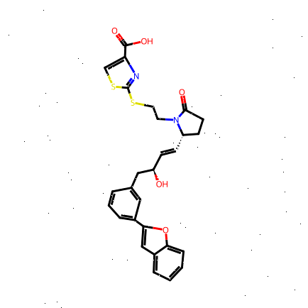 O=C(O)c1csc(SCCN2C(=O)CC[C@@H]2C=C[C@@H](O)Cc2cccc(-c3cc4ccccc4o3)c2)n1